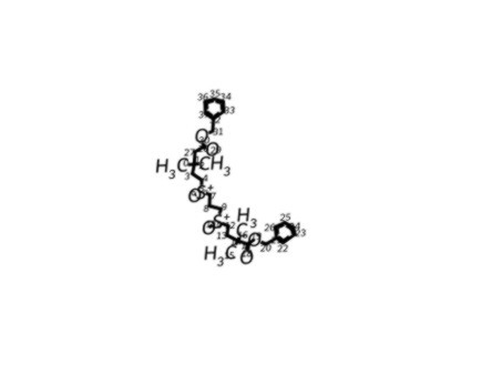 CC(C)(CC[S+]([O-])CCC[S+]([O-])CCC(C)(C)C(=O)OCc1ccccc1)CC(=O)OCc1ccccc1